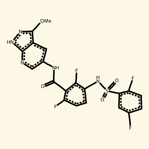 COc1n[nH]c2ncc(NC(=O)c3c(F)ccc(NS(=O)(=O)c4cc(F)ccc4F)c3F)cc12